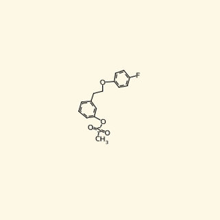 CS(=O)(=O)Oc1cccc(CCOc2ccc(F)cc2)c1